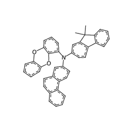 CC1(C)c2ccccc2-c2ccc(N(c3ccc4c(ccc5ccccc54)c3)c3cccc4c3Oc3ccccc3O4)cc21